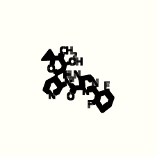 C=C1[C@@H](O)C[C@@H](c2ccncc2NC(=O)c2nc(-c3c(F)cccc3F)ncc2N)OC12CC2